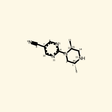 C[C@@H]1CN(c2ncc(C#N)cn2)[C@@H](C)CN1